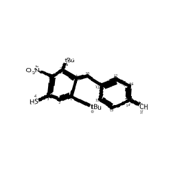 CC(C)(C)c1cc(S)c([N+](=O)[O-])c(C(C)(C)C)c1Cc1ccc(O)cc1